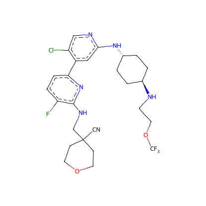 N#CC1(CNc2nc(-c3cc(N[C@H]4CC[C@H](NCCOC(F)(F)F)CC4)ncc3Cl)ccc2F)CCOCC1